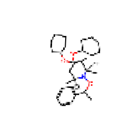 CCC1(C)CC(OC2CCCCC2)(OC2CCCCC2)C(C)C(C)(CC)N1OC(C)c1ccccc1